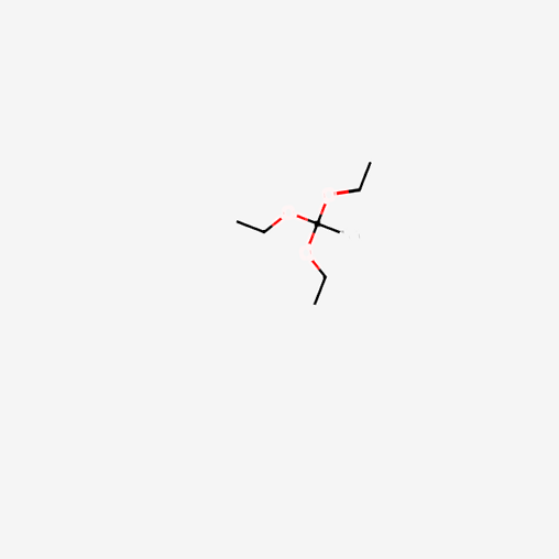 CCO[C]([SnH])(OCC)OCC